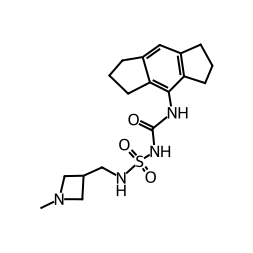 CN1CC(CNS(=O)(=O)NC(=O)Nc2c3c(cc4c2CCC4)CCC3)C1